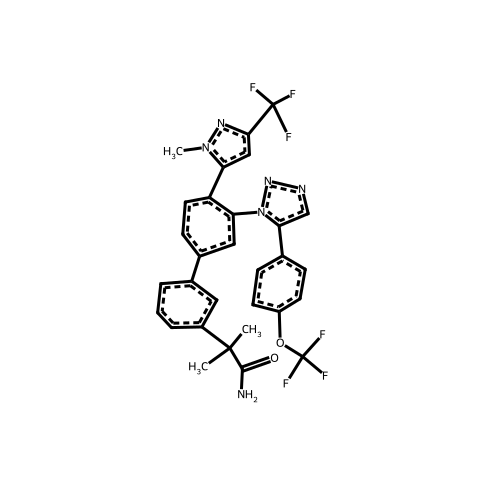 Cn1nc(C(F)(F)F)cc1-c1ccc(-c2cccc(C(C)(C)C(N)=O)c2)cc1-n1nncc1-c1ccc(OC(F)(F)F)cc1